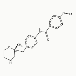 CCOc1ccc(C(=O)Nc2ccc(C[C@]3(C)CNCCO3)cc2)cc1